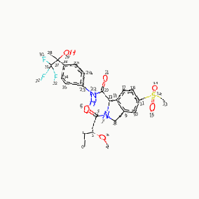 CCC(OC)C(=O)N1Cc2cc(S(C)(=O)=O)ccc2C1C(=O)Nc1ccc(C(C)(O)C(F)(F)F)cc1